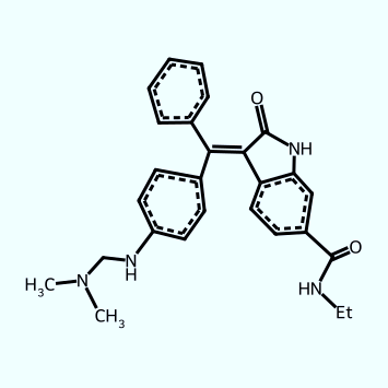 CCNC(=O)c1ccc2c(c1)NC(=O)/C2=C(\c1ccccc1)c1ccc(NCN(C)C)cc1